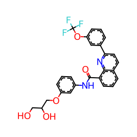 O=C(Nc1cccc(OCC(O)CO)c1)c1cccc2ccc(-c3cccc(OC(F)(F)F)c3)nc12